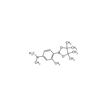 Cc1cc(N(C)C)ccc1B1OC(C)(C)C(C)(C)O1